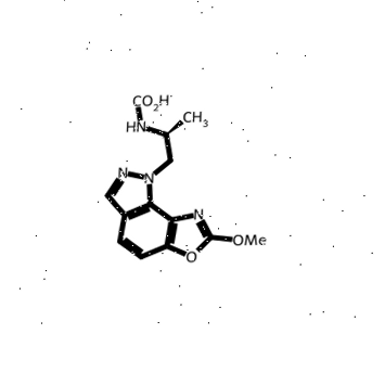 COc1nc2c(ccc3cnn(C[C@H](C)NC(=O)O)c32)o1